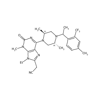 CCn1c(CC#N)nc2c(N3C[C@@H](C)N(C(C)c4ccc(C)cc4C(F)(F)F)C[C@@H]3C)nc(=O)n(C)c21